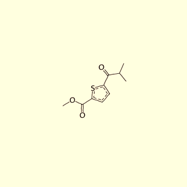 COC(=O)c1ccc(C(=O)C(C)C)s1